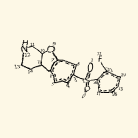 O=S(=O)(c1ccc2c(c1)OC1CNCCC21)c1ccccc1F